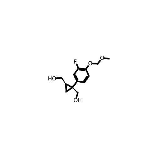 COCOc1ccc([C@]2(CO)C[C@H]2CO)cc1F